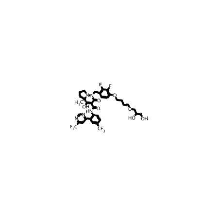 C[C@]12CCCN1N(Cc1ccc(OCCCCOCC(O)CO)c(F)c1F)C(=O)C(C(=O)Nc1ccc(C(F)(F)F)cc1-c1cc(C(F)(F)F)ncn1)=C2O